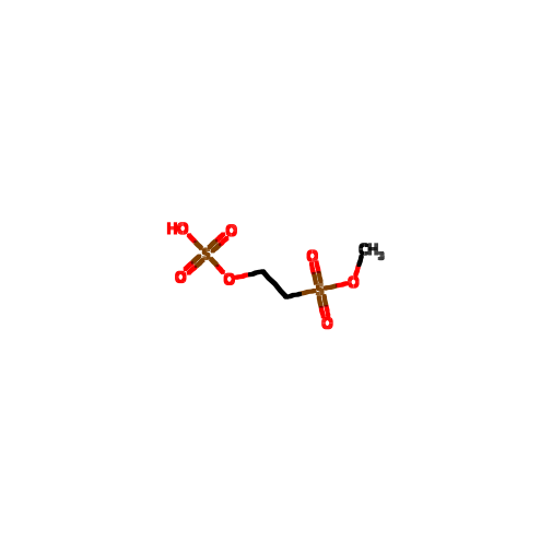 COS(=O)(=O)CCOS(=O)(=O)O